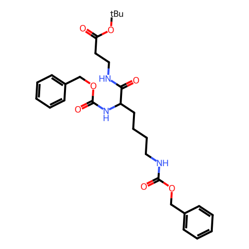 CC(C)(C)OC(=O)CCNC(=O)C(CCCCNC(=O)OCc1ccccc1)NC(=O)OCc1ccccc1